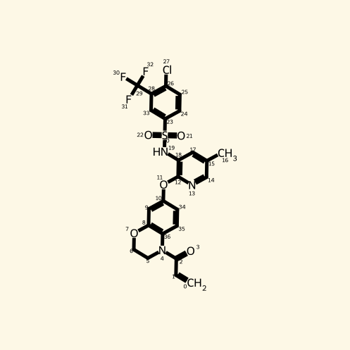 C=CC(=O)N1CCOc2cc(Oc3ncc(C)cc3NS(=O)(=O)c3ccc(Cl)c(C(F)(F)F)c3)ccc21